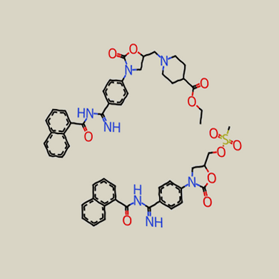 CCOC(=O)C1CCN(CC2CN(c3ccc(C(=N)NC(=O)c4cccc5ccccc45)cc3)C(=O)O2)CC1.CS(=O)(=O)OCC1CN(c2ccc(C(=N)NC(=O)c3cccc4ccccc34)cc2)C(=O)O1